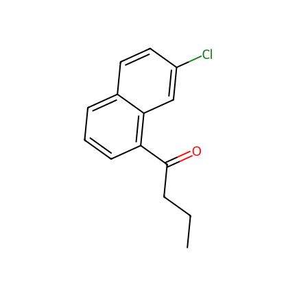 CCCC(=O)c1cccc2ccc(Cl)cc12